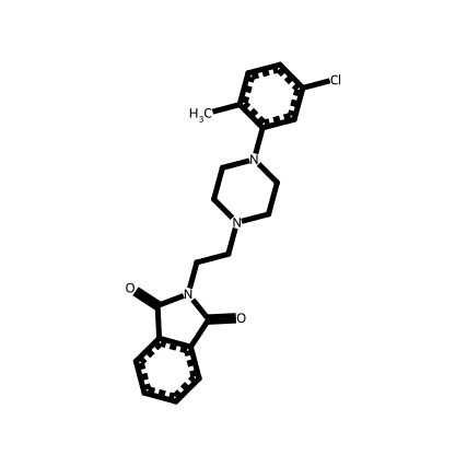 Cc1ccc(Cl)cc1N1CCN(CCN2C(=O)c3ccccc3C2=O)CC1